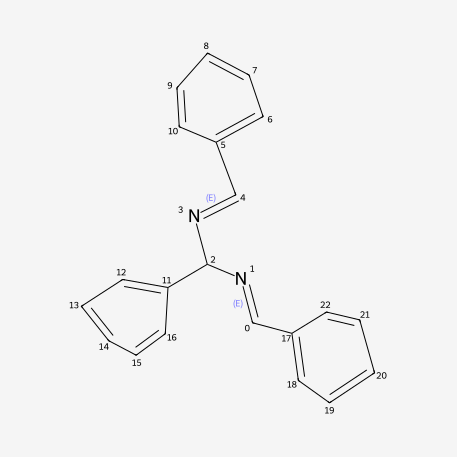 C(=N\C(/N=C/c1ccccc1)c1ccccc1)/c1ccccc1